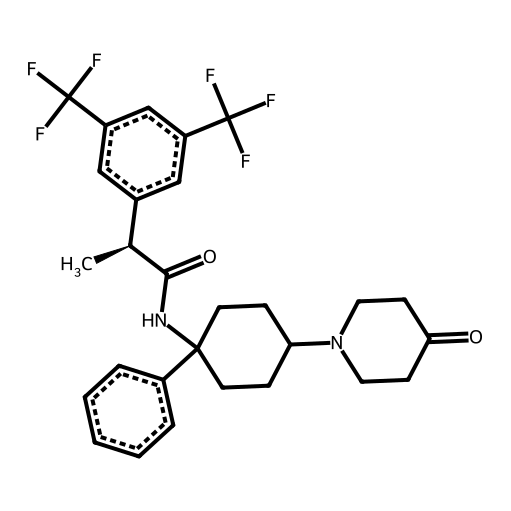 C[C@H](C(=O)NC1(c2ccccc2)CCC(N2CCC(=O)CC2)CC1)c1cc(C(F)(F)F)cc(C(F)(F)F)c1